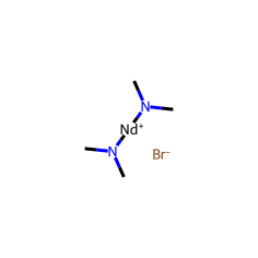 C[N](C)[Nd+][N](C)C.[Br-]